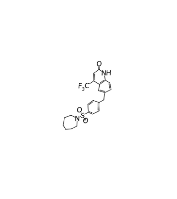 O=c1cc(C(F)(F)F)c2cc(Cc3ccc(S(=O)(=O)N4CCCCCC4)cc3)ccc2[nH]1